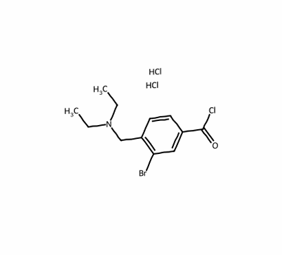 CCN(CC)Cc1ccc(C(=O)Cl)cc1Br.Cl.Cl